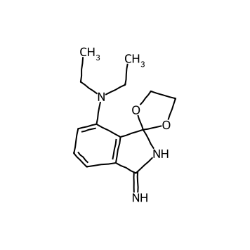 CCN(CC)c1cccc2c1C1(NC2=N)OCCO1